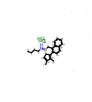 CCCC[NH][Ti][CH2]c1c(C2=C(C)C(C)=CC2)ccc2ccccc12.Cl.Cl